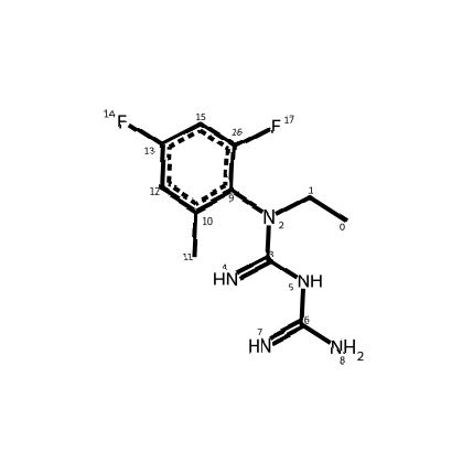 CCN(C(=N)NC(=N)N)c1c(C)cc(F)cc1F